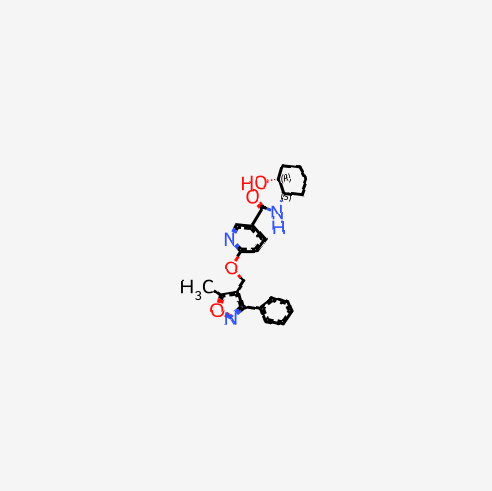 Cc1onc(-c2ccccc2)c1COc1ccc(C(=O)N[C@H]2CCCC[C@H]2O)cn1